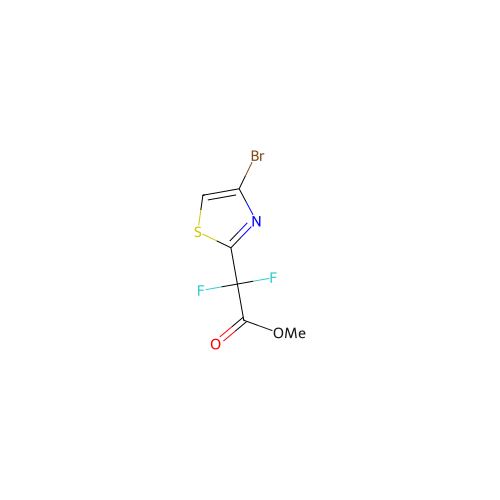 COC(=O)C(F)(F)c1nc(Br)cs1